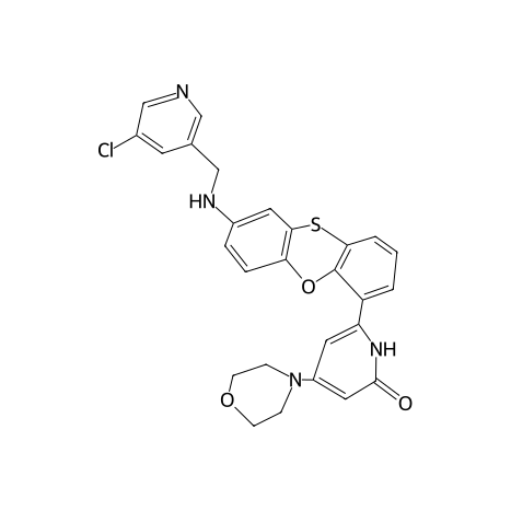 O=c1cc(N2CCOCC2)cc(-c2cccc3c2Oc2ccc(NCc4cncc(Cl)c4)cc2S3)[nH]1